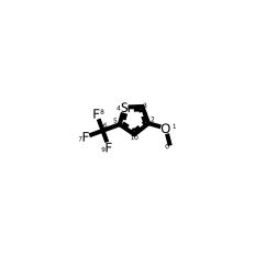 COc1[c]sc(C(F)(F)F)c1